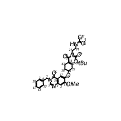 COc1cc2ncn(Cc3ccccc3)c(=O)c2cc1OC1CC=C(C(=O)N(CCNC(=O)C(F)(F)F)C(=O)OC(C)(C)C)CC1